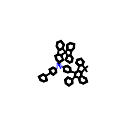 CC1(C)c2ccccc2-c2c(-c3ccc(N(c4ccc(-c5ccccc5)cc4)c4ccc5c(c4)C4(c6ccccc6-c6ccccc64)c4ccccc4-5)cc3)c(-c3ccccc3)c3ccccc3c21